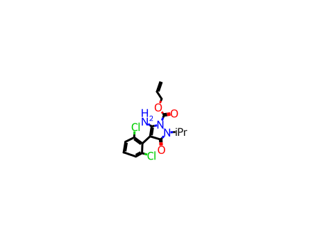 C=CCOC(=O)n1c(N)c(-c2c(Cl)cccc2Cl)c(=O)n1C(C)C